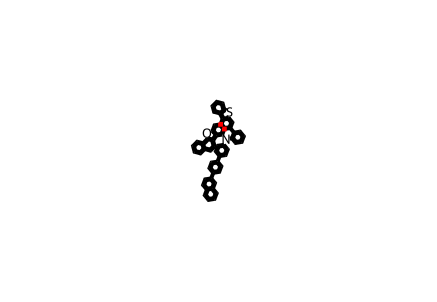 c1ccc(N(c2ccc(-c3ccc(-c4ccc5ccccc5c4)cc3)cc2)c2cccc3oc4c5ccccc5ccc4c23)c(-c2ccc3c(c2)sc2ccccc23)c1